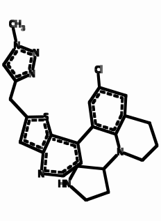 Cn1cc(Cc2cc3nccc(-c4cc(Cl)cc5c4N(C4CCNC4)CCC5)c3s2)nn1